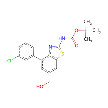 CC(C)(C)OC(=O)Nc1nc2c(-c3cccc(Cl)c3)cc(CO)cc2s1